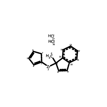 C[C]1([Zr][C]2=CC=CC2)C=Cc2ccccc21.Cl.Cl